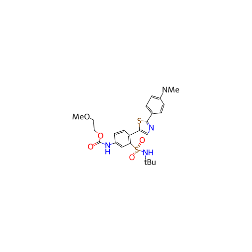 CNc1ccc(-c2ncc(-c3ccc(NC(=O)OCCOC)cc3S(=O)(=O)NC(C)(C)C)s2)cc1